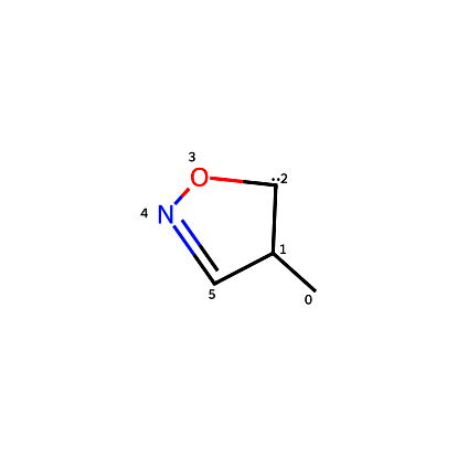 CC1[C]ON=C1